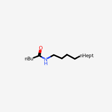 CCCCCCCCCCCNC(=O)CCCC